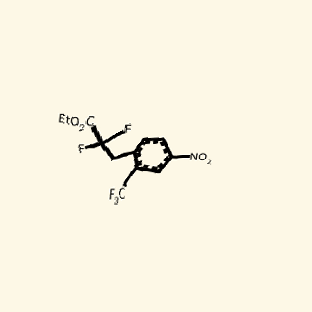 CCOC(=O)C(F)(F)Cc1ccc([N+](=O)[O-])cc1C(F)(F)F